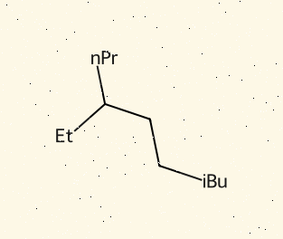 CCCC(CC)CCC(C)CC